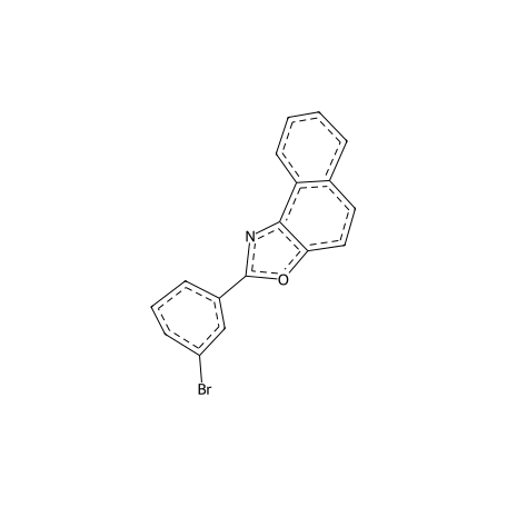 Brc1cccc(-c2nc3c(ccc4ccccc43)o2)c1